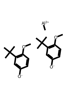 COc1ccc([O-])cc1C(C)(C)C.COc1ccc([O-])cc1C(C)(C)C.[CH3][Al+2]